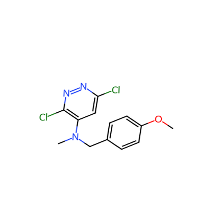 COc1ccc(CN(C)c2cc(Cl)nnc2Cl)cc1